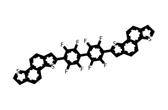 Fc1c(F)c(-c2c(F)c(F)c(-c3cc4ccc5c(ccc6ccsc65)c4s3)c(F)c2F)c(F)c(F)c1-c1cc2ccc3c(ccc4ccsc43)c2s1